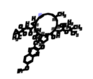 CC(C)Oc1ccc2nc(C(F)(F)F)c(O[C@@H]3C[C@H]4C(=O)N[C@]5(C(=O)NS(=O)(=O)C6(C)CC6)C[C@H]5/C=C\CC[C@@H](C)C[C@@H](C)[C@H](NC(=O)OC(C)(C)C(F)(F)F)C(=O)N4C3)nc2c1